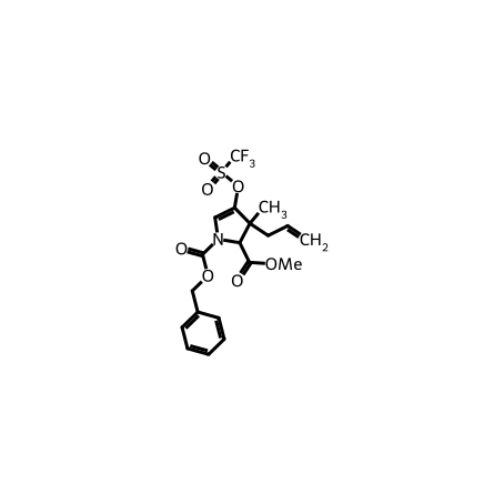 C=CCC1(C)C(OS(=O)(=O)C(F)(F)F)=CN(C(=O)OCc2ccccc2)C1C(=O)OC